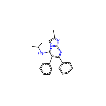 Cc1cn2c(NC(C)C)c(-c3ccccc3)c(-c3cc[c]cc3)nc2n1